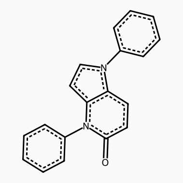 O=c1ccc2c(ccn2-c2ccccc2)n1-c1ccccc1